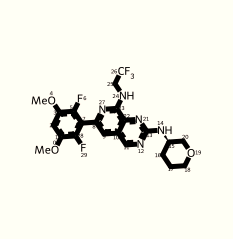 COc1cc(OC)c(F)c(-c2cc3cnc(N[C@H]4CCCOC4)nc3c(NCC(F)(F)F)n2)c1F